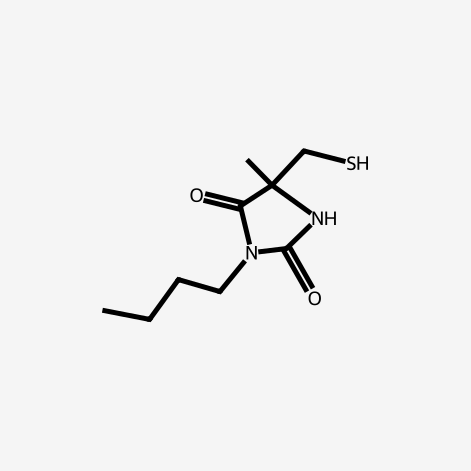 CCCCN1C(=O)NC(C)(CS)C1=O